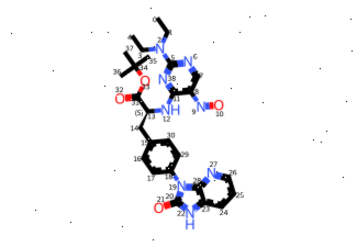 CCN(CC)c1ncc(N=O)c(N[C@@H](Cc2ccc(-n3c(=O)[nH]c4cccnc43)cc2)C(=O)OC(C)(C)C)n1